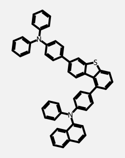 c1ccc(N(c2ccccc2)c2ccc(-c3ccc4c(c3)sc3cccc(-c5ccc(N(c6ccccc6)c6cccc7ccccc67)cc5)c34)cc2)cc1